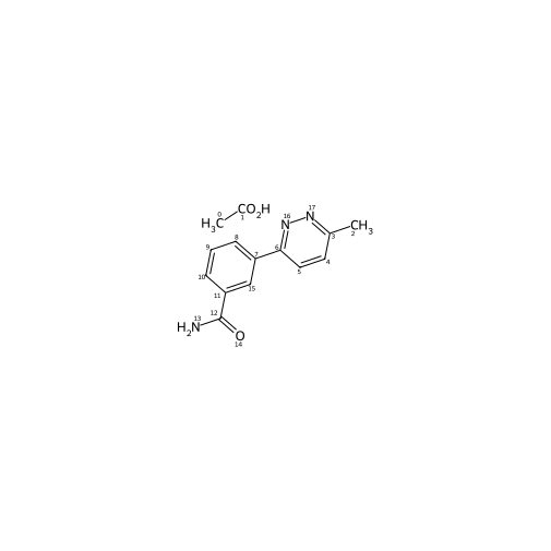 CC(=O)O.Cc1ccc(-c2cccc(C(N)=O)c2)nn1